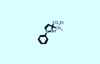 CCOC(=O)C1(C)C=CN(c2ccccc2)N1